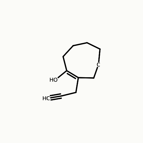 C#CCC1=C(O)CCCCCC1